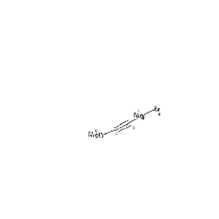 COC#[C][Mg][Br]